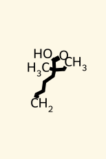 C=CCCCC(C)(CC)C(=O)O